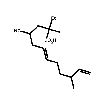 C=CC(C)CCC=CCC(C#N)CC(C)(CC)C(=O)O